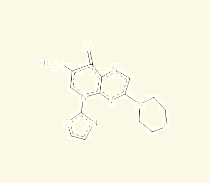 O=C(O)c1cn(-c2nccs2)c2nc(N3CCOCC3)cnc2c1=O